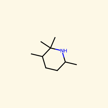 CC1CCC(C)C(C)(C)N1